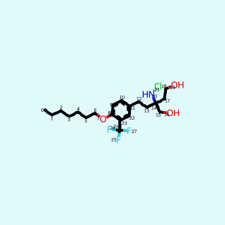 CCCCCCCOc1ccc(CCC(CO)(CCO)NCl)cc1C(F)(F)F